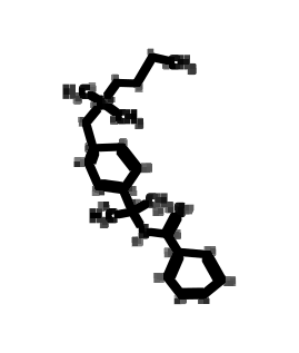 CCCC[N+](C)(C)Cc1ccc(C(C)(C)SC(=S)c2ccccc2)cc1